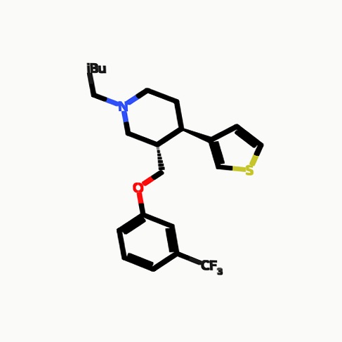 CCC(C)CN1CC[C@@H](c2ccsc2)[C@H](COc2cccc(C(F)(F)F)c2)C1